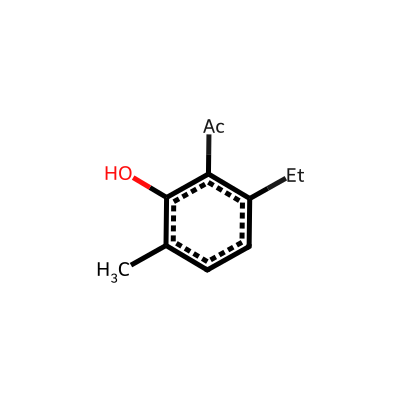 CCc1ccc(C)c(O)c1C(C)=O